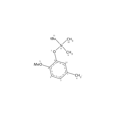 [CH2]c1ccc(OC)c(O[Si](C)(C)C(C)(C)C)c1